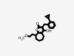 COCCC1CCCCc2c1oc(=O)c(Cc1ccccc1C1CC1)c2O